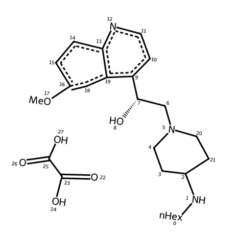 CCCCCCNC1CCN(C[C@H](O)c2ccnc3ccc(OC)cc23)CC1.O=C(O)C(=O)O